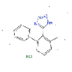 Cc1cccc(-c2ccccc2)c1-c1nnn[nH]1.Cl